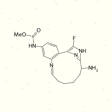 COC(=O)Nc1ccc2c(c1)N=CCCCCC(N)c1nc-2c(F)[nH]1